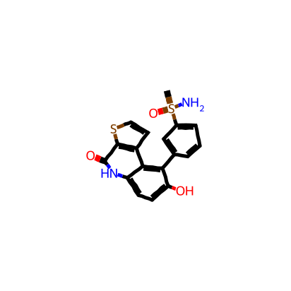 C=S(N)(=O)c1cccc(-c2c(O)ccc3[nH]c(=O)c4sccc4c23)c1